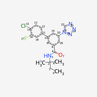 CCC(C)(C)NC(=O)c1cc(-c2ccc(Cl)c(F)c2)cc(-n2cnnn2)c1